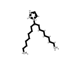 CCCCCCCCC(CCCCCCCC)n1ccnn1